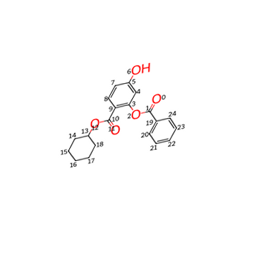 O=C(Oc1cc(O)ccc1C(=O)OC1CCCCC1)c1ccccc1